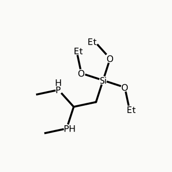 CCO[Si](CC(PC)PC)(OCC)OCC